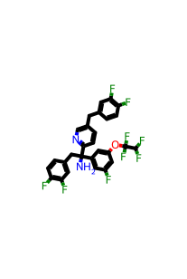 NC(Cc1ccc(F)c(F)c1)(c1cc(F)cc(OC(F)(F)C(F)F)c1)c1ccc(Cc2ccc(F)c(F)c2)cn1